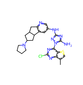 Cc1csc2c(-n3nc(Nc4cnc5c(c4)C4CC(N6CCCC6)CC4C5)nc3N)nc(Cl)nc12